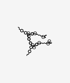 C=CC(=C)OCCCCCCOc1ccc(C(=O)OC2(C#Cc3ccc(-c4ccc(C5(OC(=O)c6ccc(OCCCCCCOC(=O)C=C)cc6)CCC(C6CCC(CCC)CC6)CC5)cc4)cc3)CCC(C3CCC(CCC)CC3)CC2)cc1